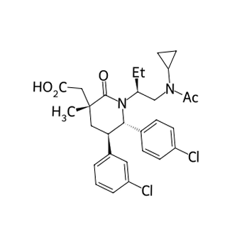 CC[C@@H](CN(C(C)=O)C1CC1)N1C(=O)[C@@](C)(CC(=O)O)C[C@H](c2cccc(Cl)c2)[C@H]1c1ccc(Cl)cc1